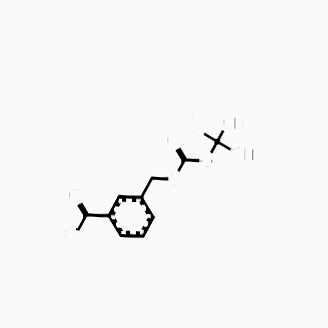 CC(C)(C)OC(=O)SCc1cccc(C(=O)Cl)c1